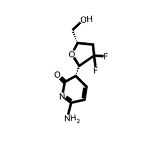 NC1=NC(=O)[C@H](C2O[C@H](CO)CC2(F)F)C=C1